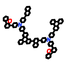 C1=C(c2ccc(N(c3ccc(-c4ccc(-c5ccc6c7ccccc7c7cc(-c8ccc(N(c9ccc(-c%10ccc%11ccccc%11c%10)cc9)c9ccc(-c%10cccc%11c%10oc%10ccccc%10%11)cc9)cc8)ccc7c6c5)c5ccccc45)cc3)c3ccc(-c4cccc5c4oc4ccccc45)cc3)cc2)CC2C(=C1)c1ccccc1-c1ccccc12